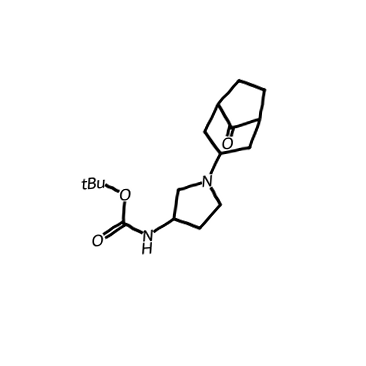 CC(C)(C)OC(=O)NC1CCN(C2CC3CCC(C2)C3=O)C1